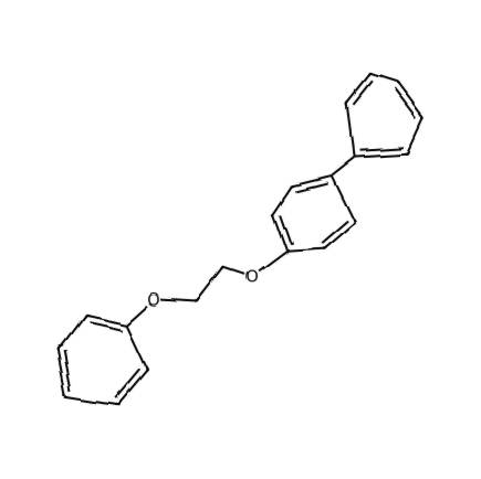 c1ccc(OCCOc2ccc(-c3ccccc3)cc2)cc1